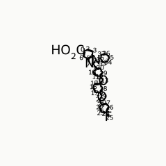 O=C(O)c1ccc2c(c1)nc(-c1ccc(Oc3cccc(OCc4ccc(F)cc4)c3)cc1)n2C1CCCCC1